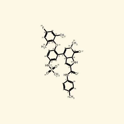 Cc1ccc(NC(=O)C2=CC3C(c4cc(NS(C)(=O)=O)ccc4Oc4c(C)cc(F)cc4C)=CN(C)C(=O)C3N2)cc1